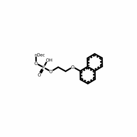 CCCCCCCCCCOP(=O)(O)OCCOc1cccc2ccccc12